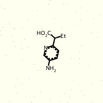 CCC(C(=O)O)c1ccc(N)cn1